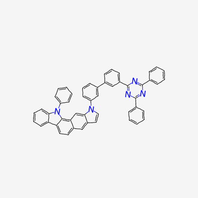 c1ccc(-c2nc(-c3ccccc3)nc(-c3cccc(-c4cccc(-n5ccc6cc7ccc8c9ccccc9n(-c9ccccc9)c8c7cc65)c4)c3)n2)cc1